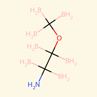 BC(B)(B)OC(B)(B)C(B)(B)N